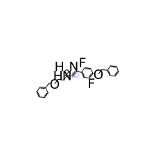 N/C(=C\NCCOCc1ccccc1)c1cc(F)c(OCc2ccccc2)cc1F